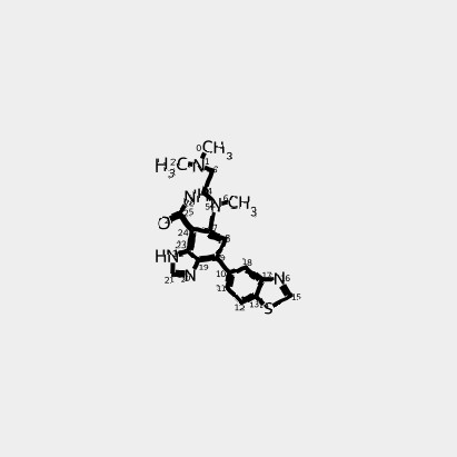 CN(C)CCN(C)c1cc(-c2ccc3scnc3c2)c2nc[nH]c2c1C(N)=O